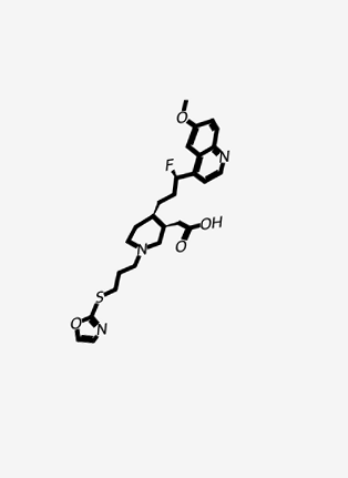 COc1ccc2nccc([C@H](F)CC[C@@H]3CCN(CCCSc4ncco4)C[C@@H]3CC(=O)O)c2c1